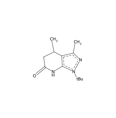 Cc1nn(C(C)(C)C)c2c1C(C)CC(=O)N2